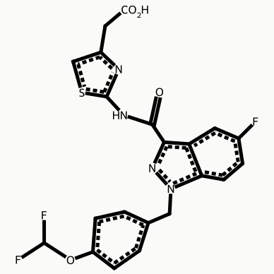 O=C(O)Cc1csc(NC(=O)c2nn(Cc3ccc(OC(F)F)cc3)c3ccc(F)cc23)n1